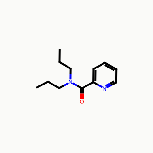 CCCN(CCC)C(=O)c1ccccn1